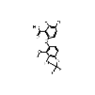 COc1c(Oc2ccc(Cl)c(F)c2C(=O)O)ccc(OC(F)(F)F)c1F